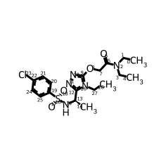 CCN(CC)C(=O)COc1nnc([C@@H](C)NS(=O)(=O)c2ccc(Cl)cc2)n1CC